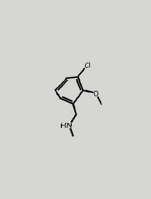 CNCc1cccc(Cl)c1OC